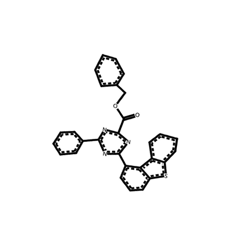 O=C(OCc1ccccc1)c1nc(-c2ccccc2)nc(-c2cccc3sc4ccccc4c23)n1